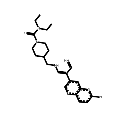 CCN(CC)C(=O)N1CCC(CN/C=C(\C=N)c2cnc3ccc(Cl)nc3c2)CC1